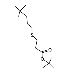 CC(C)(C)CCCSCCC(=O)OC(C)(C)C